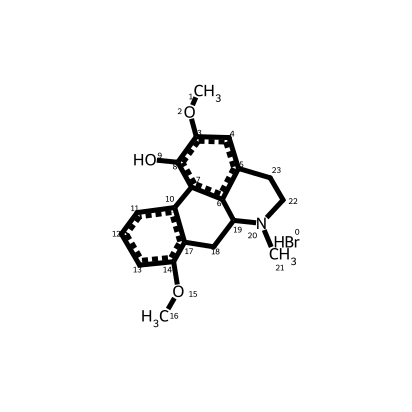 Br.COc1cc2c3c(c1O)-c1cccc(OC)c1CC3N(C)CC2